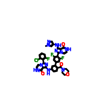 Cn1cc(Nc2nc(-c3c(F)cc(-c4cc(Nc5nc(-c6c(F)cccc6Cl)n6cc[nH]c(=O)c56)ccc4C(=O)N4CCOCC4)cc3F)n3cc[nH]c(=O)c23)cn1